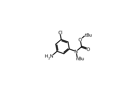 CCCCN(C(=O)OC(C)(C)C)c1cc(N)cc(Cl)c1